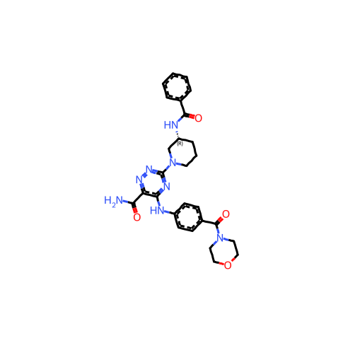 NC(=O)c1nnc(N2CCC[C@@H](NC(=O)c3ccccc3)C2)nc1Nc1ccc(C(=O)N2CCOCC2)cc1